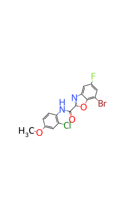 COc1ccc(NC(=O)c2nc3cc(F)cc(Br)c3o2)c(Cl)c1